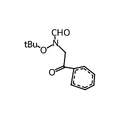 CC(C)(C)ON(C=O)CC(=O)c1ccccc1